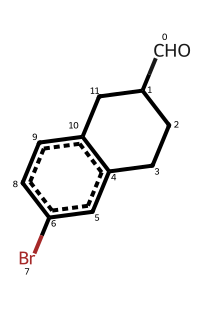 O=CC1CCc2cc(Br)ccc2C1